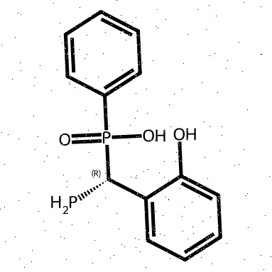 O=P(O)(c1ccccc1)[C@@H](P)c1ccccc1O